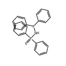 S=P(NP(c1ccccc1)c1ccccc1)(c1ccccc1)c1ccccc1